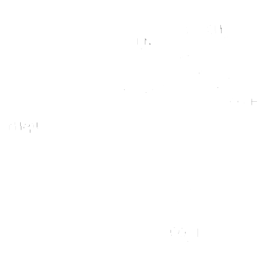 CCCCCCCC=CCC=CCCCC1(C(=O)CN)C(C)CC1(CCCCCCCC(=O)O)C(=O)O